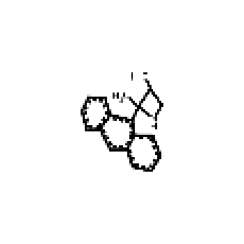 CC1CNC1(C)c1c2ccccc2cc2ccccc12